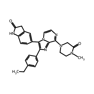 CCc1ccc(-c2nc3c(N4CCN(C)C(=O)C4)nccn3c2-c2ccc3c(c2)CC(=O)N3)cc1